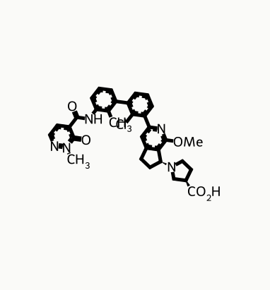 COc1nc(-c2cccc(-c3cccc(NC(=O)c4ccnn(C)c4=O)c3C)c2Cl)cc2c1[C@H](N1CC[C@@H](C(=O)O)C1)CC2